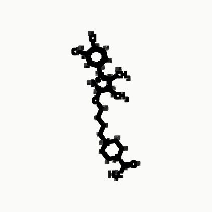 CC(=O)N1CCN(CCCCOc2nn(-c3ccc(Cl)c(Cl)c3)c(C)c2C)CC1